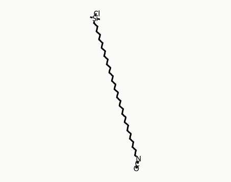 C[Si](C)(Cl)CCCCCCCCCCCCCCCCCCCCCCCCCCCCCCCCCN=C=O